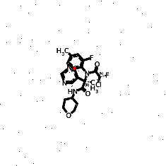 Cc1ccc(N(C(=O)[C@H](F)Cl)[C@@](C)(C(=O)NC2CCOCC2)c2cncnc2)c(F)c1